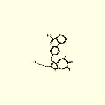 CCCCc1nc2cc(I)c(=O)c(I)cc2n1Cc1ccc(-c2ccccc2C(=O)O)cc1